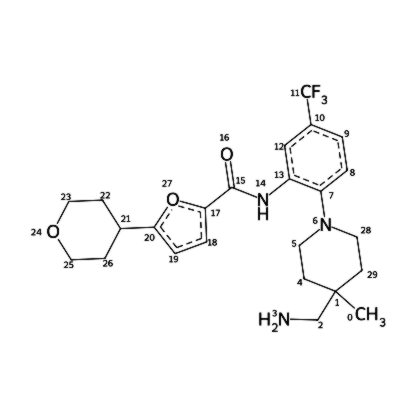 CC1(CN)CCN(c2ccc(C(F)(F)F)cc2NC(=O)c2ccc(C3CCOCC3)o2)CC1